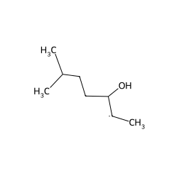 C[CH]C(O)CCC(C)C